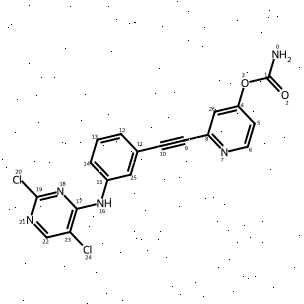 NC(=O)Oc1ccnc(C#Cc2cccc(Nc3nc(Cl)ncc3Cl)c2)c1